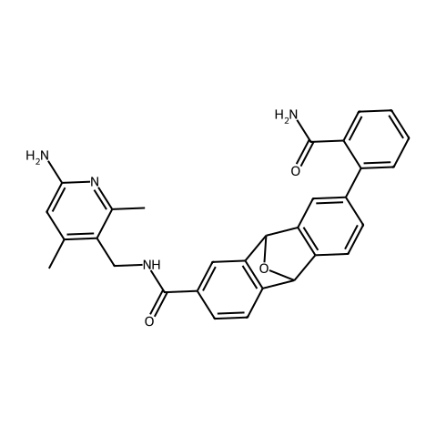 Cc1cc(N)nc(C)c1CNC(=O)c1ccc2c(c1)C1OC2c2ccc(-c3ccccc3C(N)=O)cc21